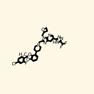 CC1(c2ccc(Cl)cc2F)Oc2cccc(C3CCN(Cc4nc5cc(-c6nnc(C(F)F)[nH]6)cnc5n4CC4CCO4)CC3)c2O1